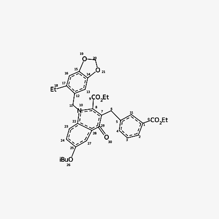 CCOC(=O)c1cccc(Cc2c(C(=O)OCC)n(Cc3cc4c(cc3CC)OCO4)c3ccc(OCC(C)C)cc3c2=O)c1